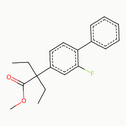 CCC(CC)(C(=O)OC)c1ccc(-c2ccccc2)c(F)c1